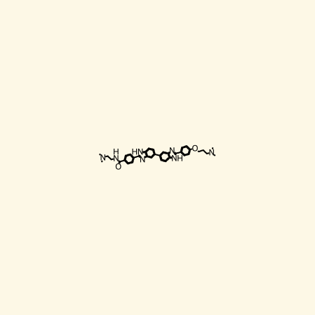 CN(C)CCCOc1ccc(-c2nc3cc(-c4ccc5[nH]c(-c6ccc(C(=O)NCCN(C)C)cc6)nc5c4)ccc3[nH]2)cc1